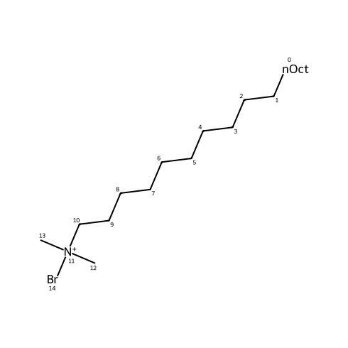 CCCCCCCCCCCCCCCCCC[N+](C)(C)Br